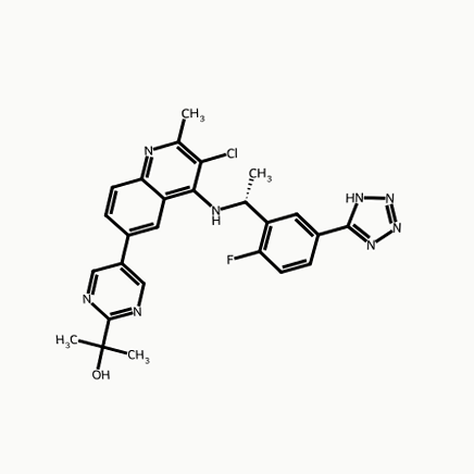 Cc1nc2ccc(-c3cnc(C(C)(C)O)nc3)cc2c(N[C@H](C)c2cc(-c3nnn[nH]3)ccc2F)c1Cl